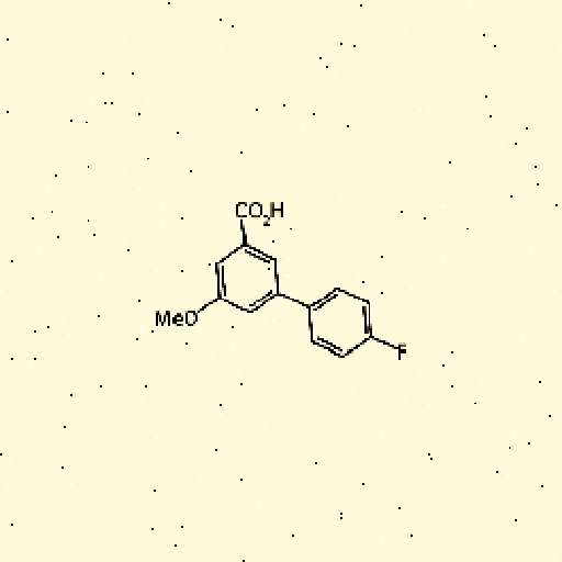 COc1cc(C(=O)O)cc(-c2ccc(F)cc2)c1